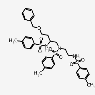 Cc1ccc(S(=O)(=O)NCCN(CC(CCOCc2ccccc2)NS(=O)(=O)c2ccc(C)cc2)S(=O)(=O)c2ccc(C)cc2)cc1